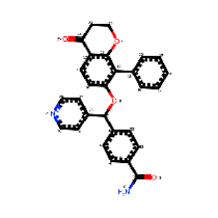 NC(=O)c1ccc(C(Oc2ccc3c(c2-c2ccccc2)OCCC3=O)c2ccncc2)cc1